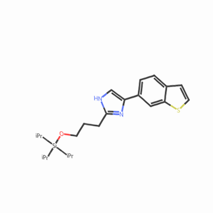 CC(C)[Si](OCCCc1nc(-c2ccc3ccsc3c2)c[nH]1)(C(C)C)C(C)C